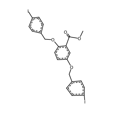 COC(=O)c1cc(OCc2ccc(I)cc2)ccc1OCc1ccc(I)cc1